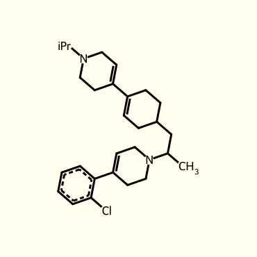 CC(C)N1CC=C(C2=CCC(CC(C)N3CC=C(c4ccccc4Cl)CC3)CC2)CC1